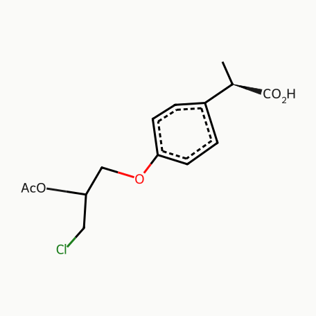 CC(=O)OC(CCl)COc1ccc([C@@H](C)C(=O)O)cc1